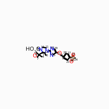 CC1C(C2(C)COC2)N(C(=O)O)CCN1c1ncc(OCc2ccc(S(C)(=O)=O)cc2)cn1